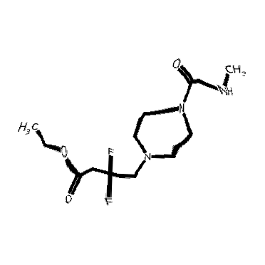 CCOC(=O)C(F)(F)CN1CCN(C(=O)NC)CC1